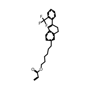 C=CC(=O)OCCCCCCc1ccc2c(c1)CCC(c1ccccc1C(F)(F)F)=C2